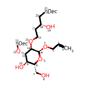 C=CCO[C@H]1O[C@H](CO)[C@@H](O)[C@H](OCCCCCCCCCC)[C@H]1OCC[C@@H](O)CCCCCCCCCCC